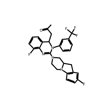 CC(=O)CC1c2cccc(F)c2N=C(N2CCN3c4ccc(F)cc4CC3C2)N1c1cccc(C(F)(F)F)c1